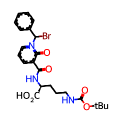 CC(C)(C)OC(=O)NCCC[C@H](NC(=O)c1cccn(C(Br)c2ccccc2)c1=O)C(=O)O